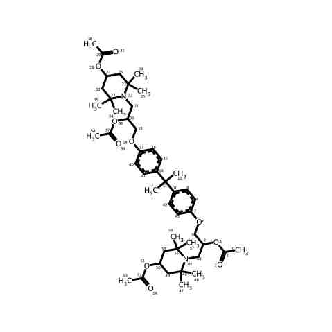 CC(=O)OC(COc1ccc(C(C)(C)c2ccc(OCC(CN3C(C)(C)CC(OC(C)=O)CC3(C)C)OC(C)=O)cc2)cc1)CN1C(C)(C)CC(OC(C)=O)CC1(C)C